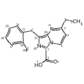 CCc1ccn2c(C(=O)O)nc(Cc3ccccc3F)c2n1